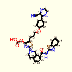 N#Cc1nccnc1-c1ccc(OCCCc2sc(N3CCc4cccc(C(=O)Nc5nc6ccccc6s5)c4C3)nc2OC(=O)O)cc1